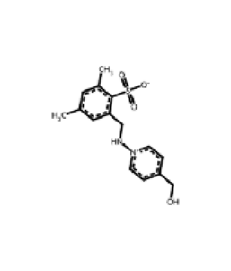 Cc1cc(C)c(S(=O)(=O)[O-])c(CN[n+]2ccc(CO)cc2)c1